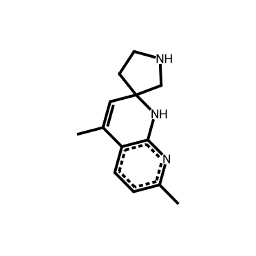 CC1=CC2(CCNC2)Nc2nc(C)ccc21